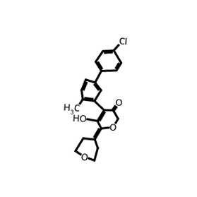 Cc1ccc(-c2ccc(Cl)cc2)cc1C1=C(O)C(=C2CCOCC2)OCC1=O